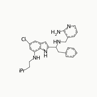 CC(C)CCNc1cc(Cl)cc2cc(C(Cc3ccccc3)NCc3cccnc3N)[nH]c12